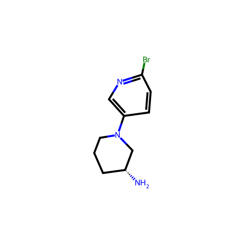 N[C@@H]1CCCN(c2ccc(Br)nc2)C1